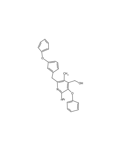 CCCc1nc(Cc2cccc(Oc3ccccc3)c2)c(C)c(CO)c1Oc1ccccc1